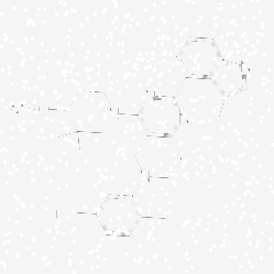 COC1CCN(c2nc(-c3cccc4[nH]cc(C)c34)nc3c2CN(c2cc(C(C)C)ccc2C)CC3)CC1(C)C